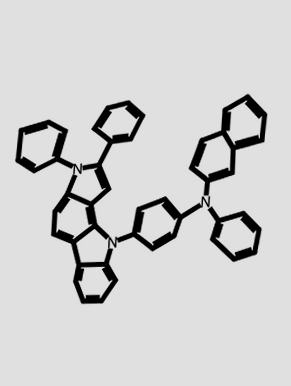 c1ccc(-c2cc3c(ccc4c5ccccc5n(-c5ccc(N(c6ccccc6)c6ccc7ccccc7c6)cc5)c43)n2-c2ccccc2)cc1